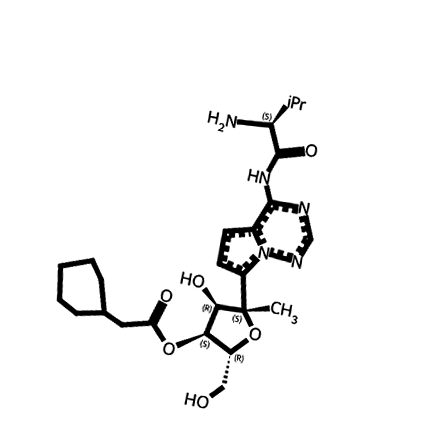 CC(C)[C@H](N)C(=O)Nc1ncnn2c([C@]3(C)O[C@H](CO)[C@@H](OC(=O)CC4CCCCC4)[C@H]3O)ccc12